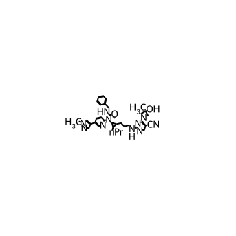 CCCC1/C(=[N+](/C(=O)NCc2ccccc2)c2ccc(-c3cnn(C)c3)cn2)C1CCCNc1ncc(C#N)c(N2CC(C)(O)C2)n1